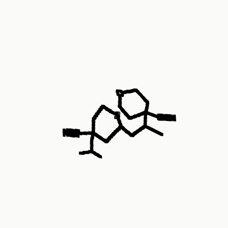 CC(C)C1(C#N)CCSC(CC(C)C2(C#N)CCOCC2)C1